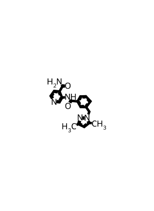 Cc1cc(C)n(Cc2cccc(C(=O)Nc3cnccc3C(N)=O)c2)n1